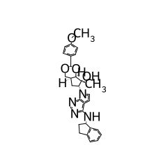 COc1ccc(C2OC[C@@H]3C[C@@H](n4ccc5c(N[C@H]6CCc7ccccc76)ncnc54)[C@@](C)(O)[C@@H]3O2)cc1